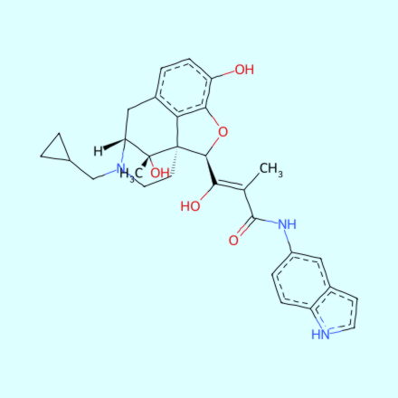 C/C(C(=O)Nc1ccc2[nH]ccc2c1)=C(/O)[C@@H]1Oc2c(O)ccc3c2[C@@]12CCN(CC1CC1)[C@H](C3)[C@@]2(C)O